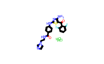 Cl.Cl.Nc1nc(Nc2ccc(C(=O)NCCn3ccnc3)cc2)sc1C(=O)c1c(F)cccc1F